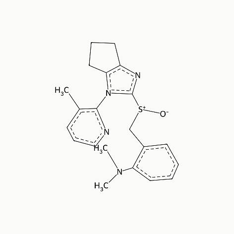 Cc1cccnc1-n1c([S+]([O-])Cc2ccccc2N(C)C)nc2c1CCC2